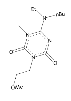 CCCCN(CC)c1nc(=O)n(CCOC)c(=O)n1C